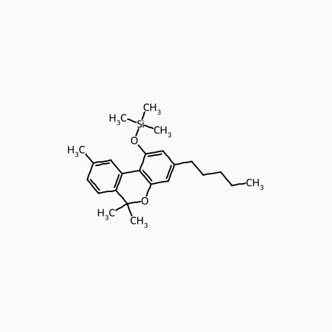 CCCCCc1cc2c(c(O[Si](C)(C)C)c1)-c1cc(C)ccc1C(C)(C)O2